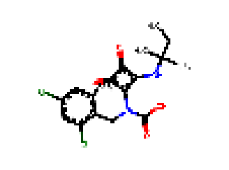 CCC(C)(C)Nc1c(N(Cc2c(C)cc(Cl)cc2Cl)C(=O)O)c(=O)c1=O